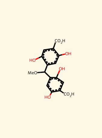 COC(c1cc(O)c(C(=O)O)cc1O)c1cc(O)c(C(=O)O)cc1O